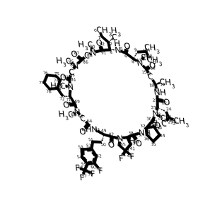 CC[C@H](C)[C@@H]1NC(=O)[C@H](CC(C)C)N(C)C(=O)C[C@@H](C)NC(=O)[C@H](CC(C)C)N(C)C(=O)C2(CCCC2)NC(=O)[C@@H]2CC(F)(F)CN2C(=O)[C@H](CCc2ccc(C(F)(F)F)c(F)c2)NC(=O)CN(C)C(=O)[C@H](CC2CCCCC2)N(C)C(=O)CN(C)C(=O)CN(C)C1=O